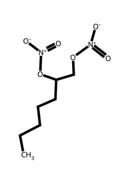 CCCCCC(CO[N+](=O)[O-])O[N+](=O)[O-]